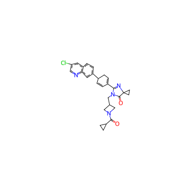 O=C(C1CC1)N1CC(CN2C(=O)C3(CC3)N=C2C2=CCC(c3ccc4cc(Cl)cnc4c3)C=C2)C1